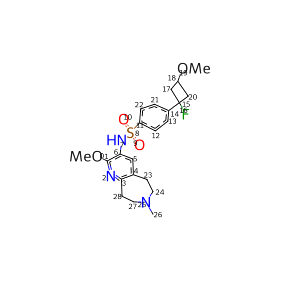 COc1nc2c(cc1NS(=O)(=O)c1ccc(C3(F)CC(OC)C3)cc1)CCN(C)CC2